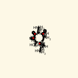 N=C(N)NCCC[C@@H]1NC(=O)[C@@H](Cc2ccccc2)NC(=O)[C@H](CC2CN=CN2)NC(=O)[C@H](CCC(=O)O)NC(=O)[C@@H](NC(=O)[C@@H](CCCNC(=N)N)N2C(=O)CNC2=O)CSSC[C@@H](C(N)=O)NC(=O)[C@H](Cc2c[nH]c3ccccc23)NC1=O